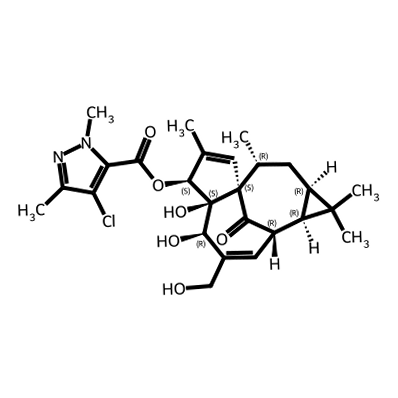 CC1=C[C@]23C(=O)[C@@H](C=C(CO)[C@@H](O)[C@]2(O)[C@H]1OC(=O)c1c(Cl)c(C)nn1C)[C@H]1[C@@H](C[C@H]3C)C1(C)C